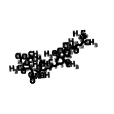 COc1cc(C/C(C)=C/C=C/[C@@H](OC)[C@@]2(O)C[C@@H]([C@@H](C)[C@@H]3O[C@@]3(C)[C@H](CC=O)OC(=O)C(C)C)OC(=O)N2)cc(N(C)C)c1-c1ccc(NC(=O)CCC(C)SSC)c(Cl)c1